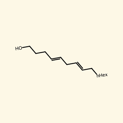 CCCCCCC/C=C/C/C=C/CCCO